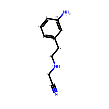 N#CCNCCc1cccc(N)c1